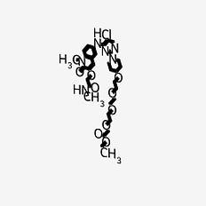 CCOC(=O)COCCOCCOCCOC1CCN(c2ncc(Cl)c(Nc3ccc4c(c3)cc(OCC(=O)NC)c(=O)n4C)n2)CC1